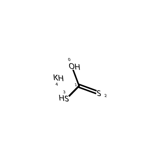 OC(=S)S.[KH]